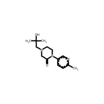 Cc1ccc(N2CCN(CC(C)(C)O)CC2=O)cn1